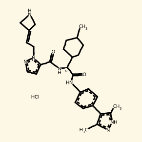 Cc1n[nH]c(C)c1-c1ccc(NC(=O)[C@@H](NC(=O)c2ccnn2CC=C2CNC2)C2CCC(C)CC2)cc1.Cl